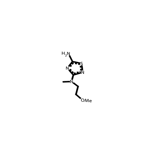 COCCN(C)c1nsc(N)n1